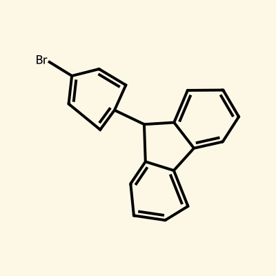 Brc1ccc(C2c3ccccc3-c3ccccc32)cc1